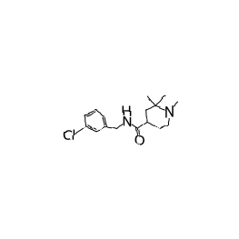 CN1CCC(C(=O)NCc2cccc(Cl)c2)CC1(C)C